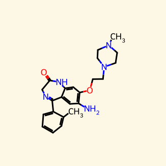 Cc1ccccc1C1=NCC(=O)Nc2cc(OCCN3CCN(C)CC3)c(N)cc21